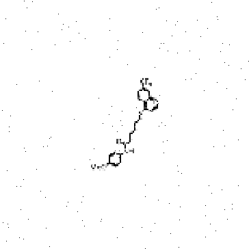 COc1ccc(NC(=O)CCCCCSc2ccnc3cc(C(F)(F)F)ccc23)cc1